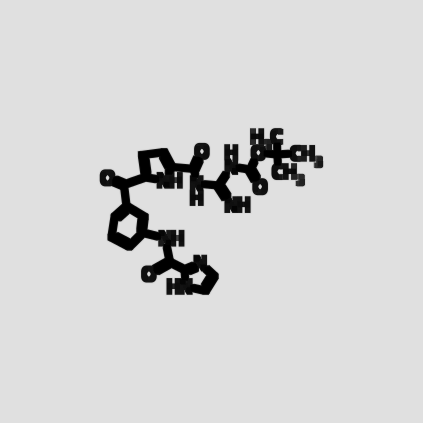 CC(C)(C)OC(=O)NC(=N)NC(=O)c1ccc(C(=O)c2cccc(NC(=O)c3ncc[nH]3)c2)[nH]1